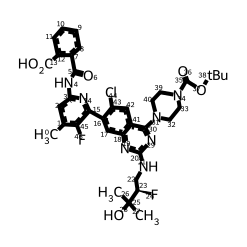 Cc1cc(NC(=O)c2ccccc2C(=O)O)nc(-c2cc3nc(NC[C@@H](F)C(C)(C)O)nc(N4CCN(C(=O)OC(C)(C)C)CC4)c3cc2Cl)c1F